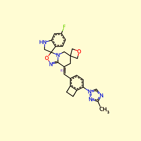 Cc1ncn(-c2ccc(/C=C3\CC4(COC4)CN4C3=NOC43CNc4cc(F)ccc43)c3c2CC3)n1